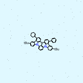 CC(C)(C)C1=CCC2C(=C1)c1c(-c3ccccc3)ccc3c1N2c1cccc2c1B3c1ccc(C3=CCCCC3)c3c4cc(C(C)(C)C)ccc4n-2c13